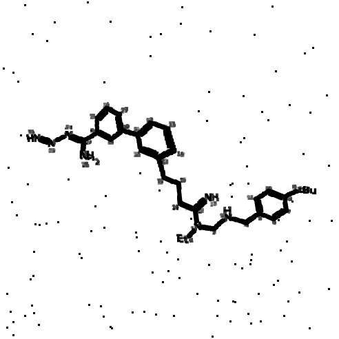 CCN(CNCc1ccc(C(C)(C)C)cc1)C(=N)CCCc1cccc(-c2cccc(/C(N)=N/N=N)c2)c1